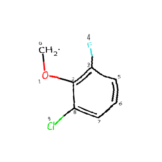 [CH2]Oc1c(F)cccc1Cl